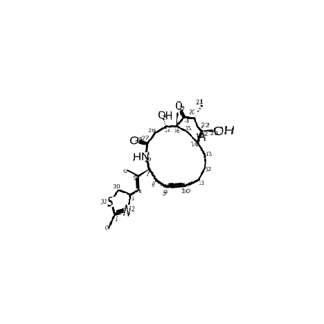 CC1=NC(/C=C(\C)[C@@H]2C/C=C\CCC[C@@H]3C[C@@](C)(C(=O)[C@H](C)[C@H]3O)[C@@H](O)CC(=O)N2)CS1